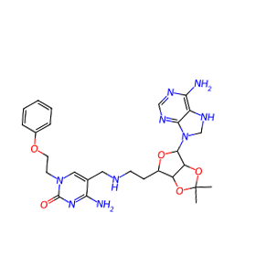 CC1(C)OC2C(CCNCc3cn(CCOc4ccccc4)c(=O)nc3N)OC(N3CNc4c(N)ncnc43)C2O1